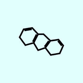 C1=CC2=C(CC1)CC1=C(C=CCC1)C2